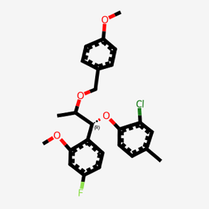 COc1ccc(COC(C)[C@H](Oc2ccc(C)cc2Cl)c2ccc(F)cc2OC)cc1